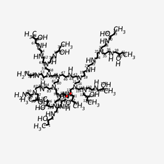 CCC(O)CNCCNCCNCCN(CCN(CCNCCNCCN(CCNCC(O)CC)CCNCC(O)CC)CCNCCN(CCN(CCNCCN)CCN(CCNCCNCC(O)CC)CCNCC(O)CC)CCN(CCNCCN(CCN)CC(O)CC)CCN(CCNCC(O)CC)CCNCC(O)CC)CCN(CCNCC(C)O)CC(O)CC